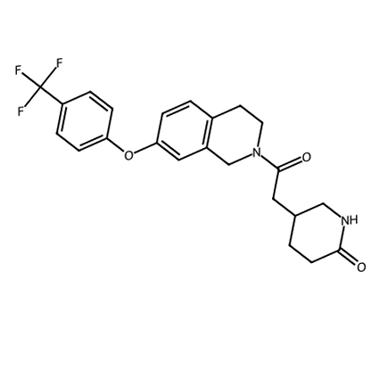 O=C1CCC(CC(=O)N2CCc3ccc(Oc4ccc(C(F)(F)F)cc4)cc3C2)CN1